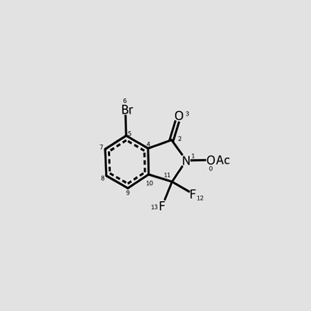 CC(=O)ON1C(=O)c2c(Br)cccc2C1(F)F